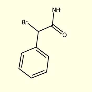 [NH]C(=O)C(Br)c1ccccc1